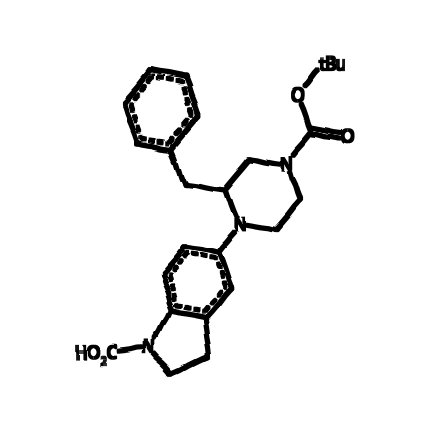 CC(C)(C)OC(=O)N1CCN(c2ccc3c(c2)CCN3C(=O)O)C(Cc2ccccc2)C1